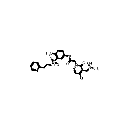 Cc1ccc(NC(=O)Cn2ncc(Cl)c(CN(C)C)c2=O)cc1S(=O)(=O)NCCc1ccccn1